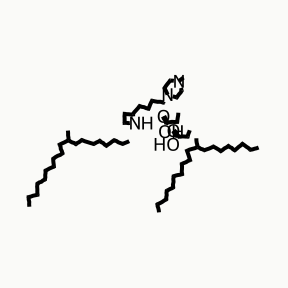 CCC(=O)O.CCC(=O)O.CCCCCCCCCCC(C)CCCCCCCC.CCCCCCCCCCC(C)CCCCCCCC.CN1CCN(CCCCC2CCN2)CC1